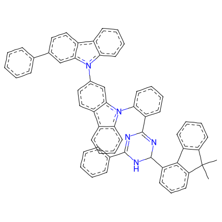 CC1(C)c2ccccc2-c2c(C3N=C(c4ccccc4-n4c5ccccc5c5ccc(-n6c7ccccc7c7ccc(-c8ccccc8)cc76)cc54)N=C(c4ccccc4)N3)cccc21